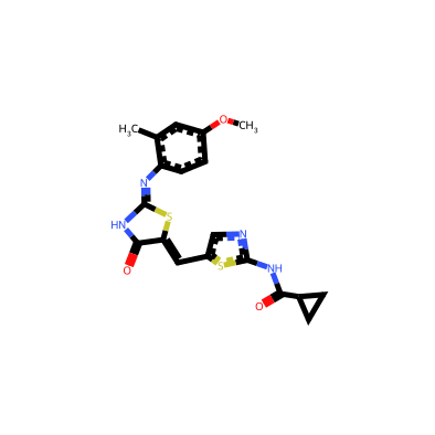 COc1ccc(/N=C2/NC(=O)/C(=C/c3cnc(NC(=O)C4CC4)s3)S2)c(C)c1